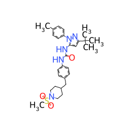 Cc1ccc(-n2nc(C(C)(C)C)cc2NC(=O)Nc2ccc(CC3CCN(S(C)(=O)=O)CC3)cc2)cc1